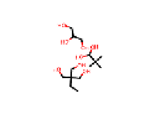 CC(C)(C)C(O)O.CCC(CO)(CO)CO.OCC(O)CO